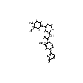 Cn1ccc(-c2ccc(C(=O)NC3CCCN(c4ccc(F)c(F)c4)C3)c(F)c2)n1